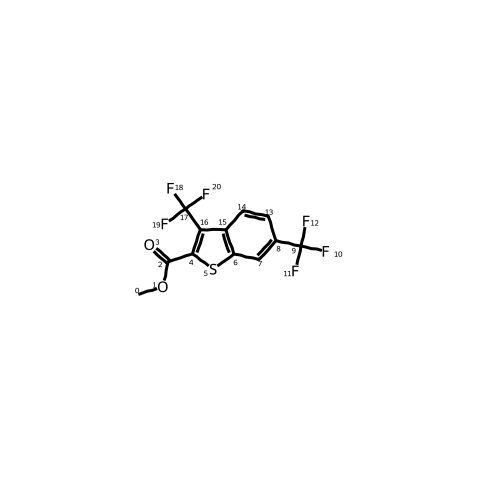 COC(=O)c1sc2cc(C(F)(F)F)ccc2c1C(F)(F)F